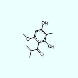 COc1cc(O)c(C)c(O)c1C(=O)C(C)C